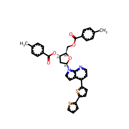 Cc1ccc(C(=O)OC[C@H]2O[C@@H](n3ccc4c(-c5ccc(-c6cccs6)s5)ccnc43)C[C@@H]2OC(=O)c2ccc(C)cc2)cc1